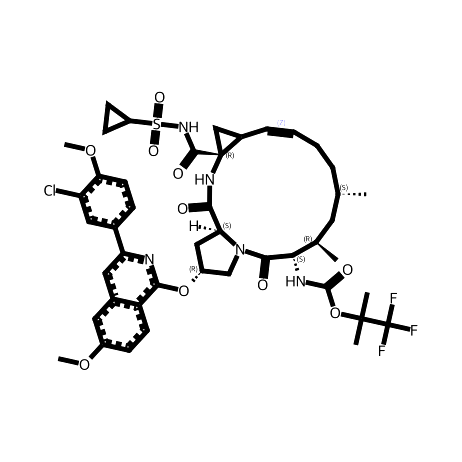 COc1ccc2c(O[C@@H]3C[C@H]4C(=O)N[C@]5(C(=O)NS(=O)(=O)C6CC6)CC5/C=C\CC[C@H](C)C[C@@H](C)[C@H](NC(=O)OC(C)(C)C(F)(F)F)C(=O)N4C3)nc(-c3ccc(OC)c(Cl)c3)cc2c1